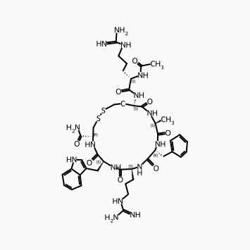 CC(=O)N[C@@H](CCCNC(=N)N)C(=O)N[C@H]1CCSSC[C@@H](C(N)=O)NC(=O)[C@H](Cc2c[nH]c3ccccc23)NC(=O)[C@H](CCCNC(=N)N)NC(=O)[C@@H](Cc2ccccc2)NC(=O)[C@H](C)NC1=O